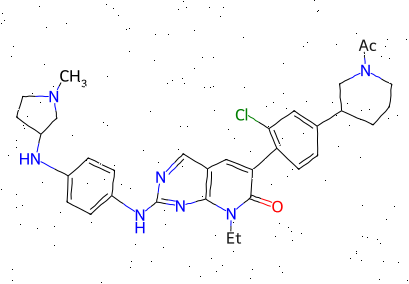 CCn1c(=O)c(-c2ccc(C3CCCN(C(C)=O)C3)cc2Cl)cc2cnc(Nc3ccc(NC4CCN(C)C4)cc3)nc21